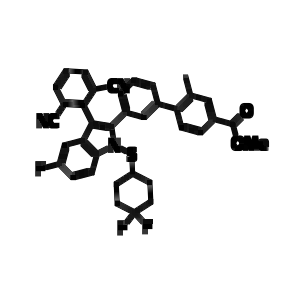 COC(=O)c1ccc(-c2cccc(-c3c(-c4c(C#N)cccc4C#N)c4cc(F)ccc4n3SC3CCC(F)(F)CC3)c2)c(C)c1